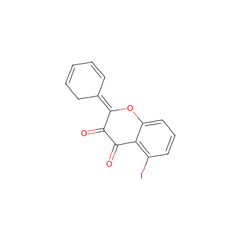 O=C1C(=O)c2c(I)cccc2OC1=C1C=CC=CC1